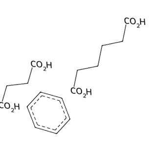 O=C(O)CCC(=O)O.O=C(O)CCCCC(=O)O.c1ccccc1